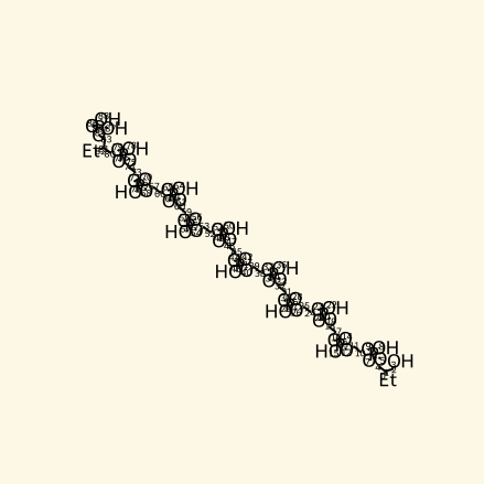 CCC(CO)COP(=O)(O)OCCOP(=O)(O)OCCOP(=O)(O)OCCOP(=O)(O)OCCOP(=O)(O)OCCOP(=O)(O)OCCOP(=O)(O)OCCOP(=O)(O)OCCOP(=O)(O)OCCOP(=O)(O)OCCOP(=O)(O)OCC(CC)COP(=O)(O)O